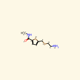 CNC(=O)c1ccc(CSCCN)s1